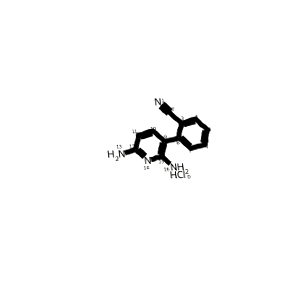 Cl.N#Cc1ccccc1-c1ccc(N)nc1N